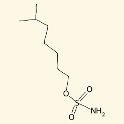 CC(C)CCCCCOS(N)(=O)=O